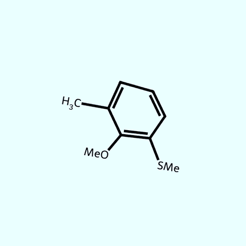 COc1c(C)cccc1SC